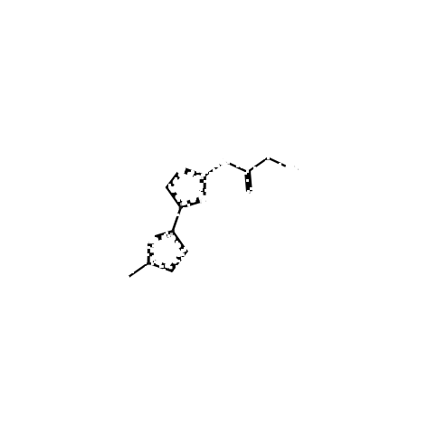 Cc1ccc(-c2csc(NC(=O)CC#N)n2)s1